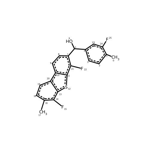 Cc1ccc(C(O)c2ccc3c(sc4c(F)c(C)ccc43)c2F)cc1F